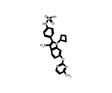 CCCS(=O)(=O)Nc1ccc(-c2c(N)c3ccc(Oc4nccc(C)n4)cc3n2C2CCC2)cc1